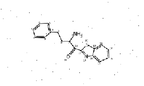 NC(CCc1ccccc1)C(=O)c1nc2ccccc2s1